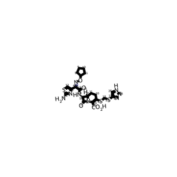 Nc1nc(/C(=N/OC2CCCC2)C(=O)N[C@@H]2C(=O)N3C(C(=O)O)=C(SCSc4c[nH]nn4)CC[C@@H]23)cs1